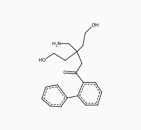 NCC(CCO)(CCO)CC(=O)c1ccccc1-c1ccccc1